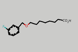 O=C(O)CCCCCCCOCc1cccc(F)c1